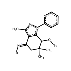 CCOC1c2c(c(C)nn2-c2ccccn2)/C(=N/O)CC1(C)C